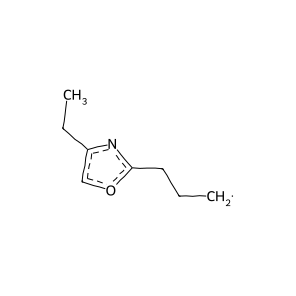 [CH2]CCc1nc(CC)co1